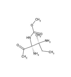 CC[C@](C)(N)[C@](N)(NC(=O)OC)C(C)=O